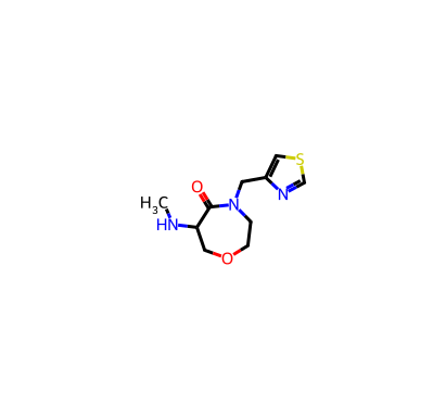 CNC1COCCN(Cc2cscn2)C1=O